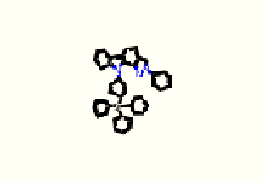 c1ccc(-n2cc3ccc4c5ccccc5n(-c5ccc([Si](c6ccccc6)(c6ccccc6)c6ccccc6)cc5)c4c3n2)cc1